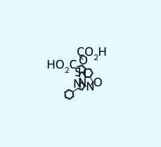 CN(C(=O)c1ccc2c(OCC(=O)O)c(C(=O)O)sc2c1)c1cc(-c2ccccc2)n[nH]1